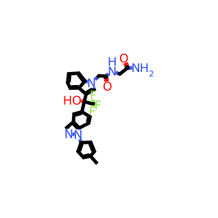 Cc1ccc(-n2ncc3cc(C(O)(c4cn(CC(=O)NCC(N)=O)c5ccccc45)C(F)(F)F)ccc32)cc1